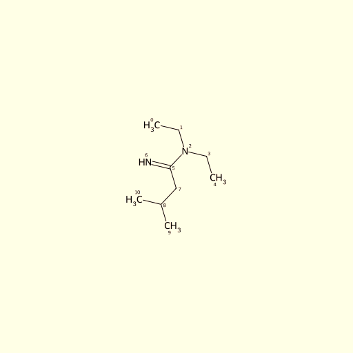 CCN(CC)C(=N)CC(C)C